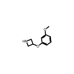 COc1cccc(OC2CNC2)c1